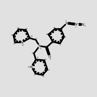 [N-]=[N+]=Nc1ccc(C(=O)N(Cc2ccccn2)Cc2ccccn2)cc1